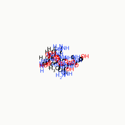 CC[C@H](C)[C@H](NC(=O)[C@H](CCCNC(=N)N)NC(=O)[C@H](CCC(N)=O)NC(=O)[C@@H](NC(=O)[C@@H](NC(=O)[C@H](CCCNC(=N)N)NC(=O)[C@H](CO)NC(=O)CNC(=O)[C@H](Cc1ccc(O)cc1)NC(=O)[C@@H]1CCCN1)C(C)C)[C@@H](C)CC)C(=O)N[C@@H](CC(C)C)C(=O)N[C@@H](CCC(=O)O)C(=O)N[C@@H](Cc1c[nH]cn1)C(=O)O